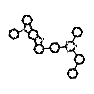 c1ccc(-c2cccc(-c3nc(-c4ccccc4)nc(-c4ccc(-c5cccc6c5oc5cc7c8ccccc8n(-c8ccccc8)c7cc56)cc4)n3)c2)cc1